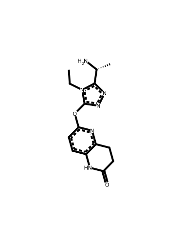 CCn1c(Oc2ccc3c(n2)CCC(=O)N3)nnc1[C@@H](C)N